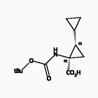 CC(C)(C)OC(=O)N[C@]1(C(=O)O)C[C@H]1C1CC1